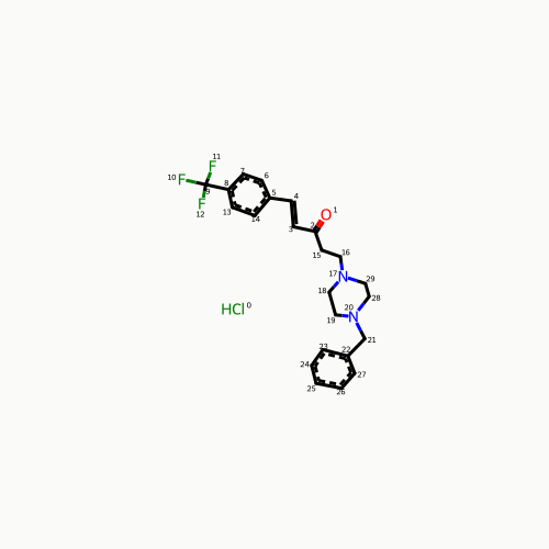 Cl.O=C(C=Cc1ccc(C(F)(F)F)cc1)CCN1CCN(Cc2ccccc2)CC1